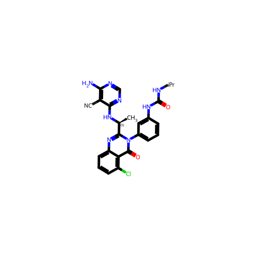 CC(C)NC(=O)Nc1cccc(-n2c([C@H](C)Nc3ncnc(N)c3C#N)nc3cccc(Cl)c3c2=O)c1